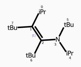 CC(C)/C(=C(\N(C(C)C)C(C)(C)C)C(C)(C)C)C(C)(C)C